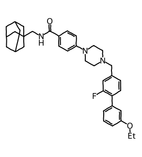 CCOc1cccc(-c2ccc(CN3CCN(c4ccc(C(=O)NCC56CC7CC(CC(C7)C5)C6)cc4)CC3)cc2F)c1